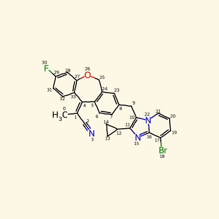 CC(C#N)=C1c2ccc(Cc3c(C4CC4)nc4c(Br)cccn34)cc2COc2cc(F)ccc21